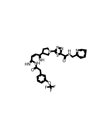 N=C(/C=C\C(=N)C1CCN(c2nnc(C(=O)NCc3ccccn3)s2)C1)NC(=O)Cc1cccc(OC(F)(F)F)c1